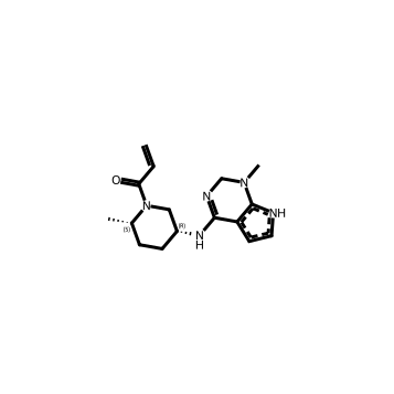 C=CC(=O)N1C[C@H](NC2=NCN(C)c3[nH]ccc32)CC[C@@H]1C